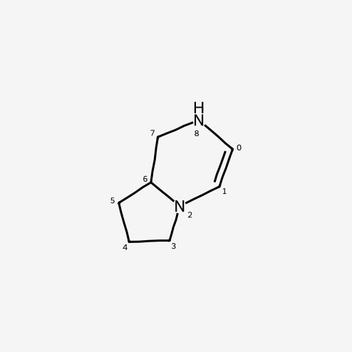 C1=CN2CCCC2CN1